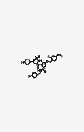 Bc1ccc(CO[C@@H]2C[C@@H](C(=O)NCc3ccc(F)cc3)N(C(=O)[C@@H](CCC3CCNCC3)NS(C)(=O)=O)C2)c(F)c1